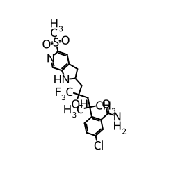 CC(C)(CC(O)(CC1Cc2cc(S(C)(=O)=O)ncc2N1)C(F)(F)F)c1ccc(Cl)cc1C(N)=O